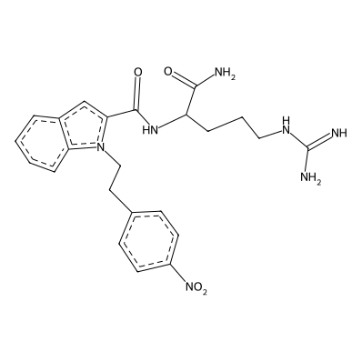 N=C(N)NCCCC(NC(=O)c1cc2ccccc2n1CCc1ccc([N+](=O)[O-])cc1)C(N)=O